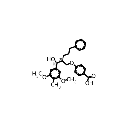 COc1cc([C@@H](O)[C@@H](CCCc2ccccc2)COc2ccc(C(=O)O)cc2)cc(OC)c1C